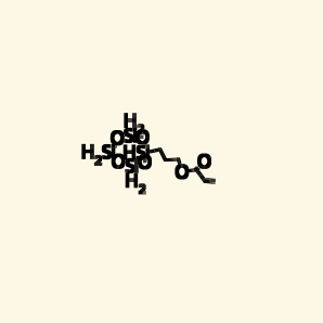 C=CC(=O)OCCC[SiH]1O[SiH2]O[SiH2]O[SiH2]O1